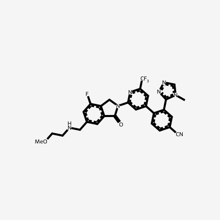 COCCNCc1cc(F)c2c(c1)C(=O)N(c1cc(-c3ccc(C#N)cc3-c3nncn3C)cc(C(F)(F)F)n1)C2